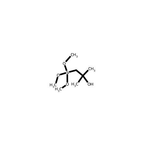 CO[Si](CC(C)(C)O)(OC)OC